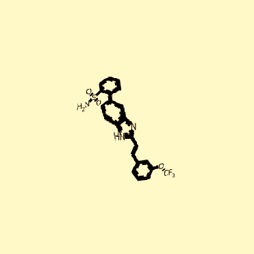 NS(=O)(=O)c1ccccc1-c1ccc2[nH]c(/C=C/c3cccc(OC(F)(F)F)c3)nc2c1